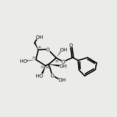 O=C(O[C@]1(O)O[C@H](CO)[C@@H](O)[C@H](O)[C@@]1(O)OO)c1ccccc1